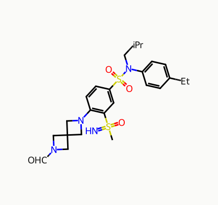 CCc1ccc(N(CC(C)C)S(=O)(=O)c2ccc(N3CC4(CN(C=O)C4)C3)c(S(C)(=N)=O)c2)cc1